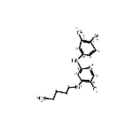 NCCCCNc1nc(Nc2ccc(Br)c(C(F)(F)F)c2)ncc1Cl